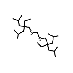 CCC(CSCSCC(CC)(CC(C)C)CC(C)C)(CC(C)C)CC(C)C